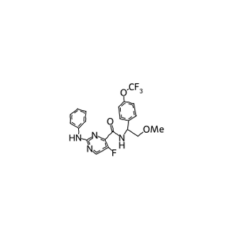 COCC(NC(=O)c1nc(Nc2ccccc2)ncc1F)c1ccc(OC(F)(F)F)cc1